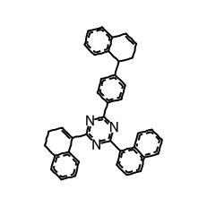 C1=Cc2ccccc2C(c2ccc(-c3nc(C4=CCCc5ccccc54)nc(-c4cccc5ccccc45)n3)cc2)C1